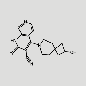 N#Cc1c(N2CCC3(CC2)CC(O)C3)c2ccncc2[nH]c1=O